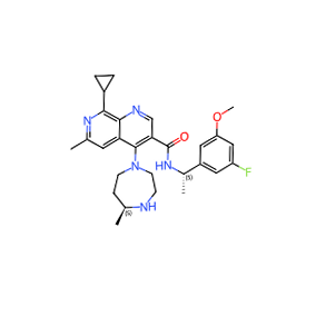 COc1cc(F)cc([C@H](C)NC(=O)c2cnc3c(C4CC4)nc(C)cc3c2N2CCN[C@@H](C)CC2)c1